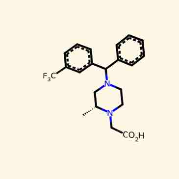 C[C@@H]1CN(C(c2ccccc2)c2cccc(C(F)(F)F)c2)CCN1CC(=O)O